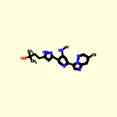 CC(C)Nc1cc(-c2cnc3cc(C#N)cnn23)ncc1-c1cc(CCC(C)(C)O)[nH]n1